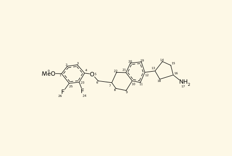 COc1ccc(OCC2CCc3cc(C4CCC(N)C4)ccc3C2)c(F)c1F